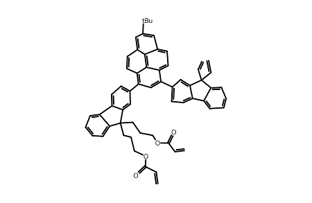 C=CC(=O)OCCCC1(CCCOC(=O)C=C)c2ccccc2-c2ccc(-c3cc(-c4ccc5c(c4)C(C=C)(C=C)c4ccccc4-5)c4ccc5cc(C(C)(C)C)cc6ccc3c4c56)cc21